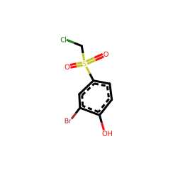 O=S(=O)(CCl)c1ccc(O)c(Br)c1